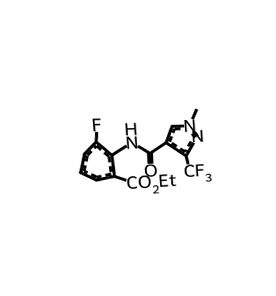 CCOC(=O)c1cccc(F)c1NC(=O)c1cn(C)nc1C(F)(F)F